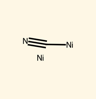 N#[C][Ni].[Ni]